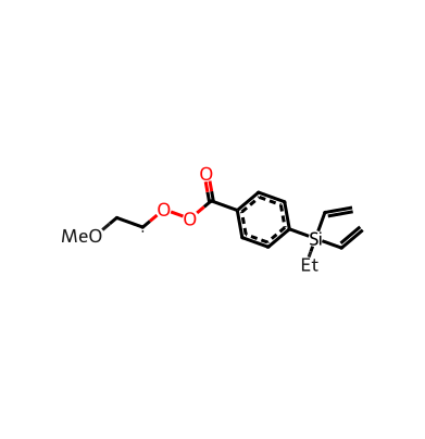 C=C[Si](C=C)(CC)c1ccc(C(=O)OO[CH]COC)cc1